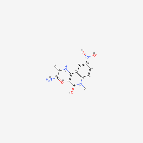 CC(Nc1cc(=O)n(C)c2ccc([N+](=O)[O-])cc12)C(N)=O